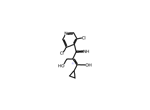 N=C(/C(CO)=C(\O)C1CC1)c1c(Cl)cncc1Cl